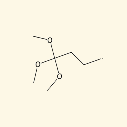 [CH2]CCC(OC)(OC)OC